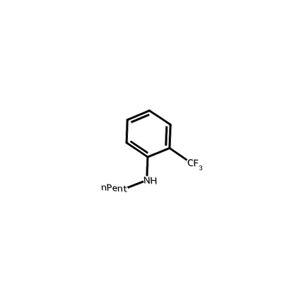 CCCCCNc1ccccc1C(F)(F)F